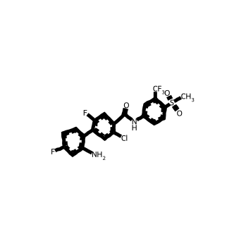 CS(=O)(=O)c1ccc(NC(=O)c2cc(F)c(-c3ccc(F)cc3N)cc2Cl)cc1C(F)(F)F